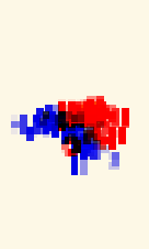 CNc1c(NC2OC(COP(O)OP(=O)(O)OP(=O)(O)OOCC3CC[C@H](n4cnc5c(N)ncnc54)O3)C(O)C2O)nc(N)[nH]c1=O